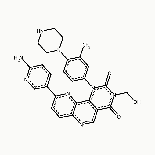 Nc1ccc(-c2ccc3ncc4c(=O)n(CO)c(=O)n(-c5ccc(N6CCNCC6)c(C(F)(F)F)c5)c4c3n2)cn1